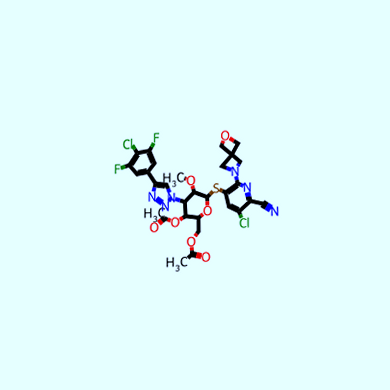 COC1C(Sc2cc(Cl)c(C#N)nc2N2CC3(COC3)C2)OC(COC(C)=O)C(OC(C)=O)C1n1cc(-c2cc(F)c(Cl)c(F)c2)nn1